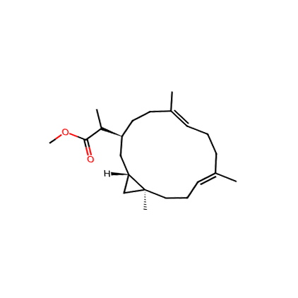 COC(=O)C(C)[C@H]1CC/C(C)=C/CC/C(C)=C/CC[C@@]2(C)C[C@@H]2C1